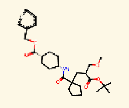 COCC(CC1(C(=O)N[C@H]2CC[C@@H](C(=O)OCc3ccccc3)CC2)CCCC1)C(=O)OC(C)(C)C